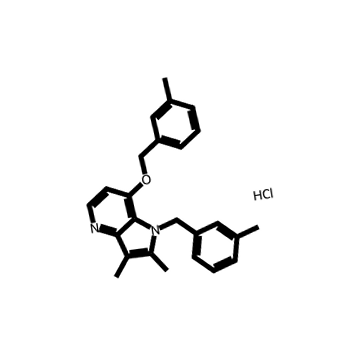 Cc1cccc(COc2ccnc3c(C)c(C)n(Cc4cccc(C)c4)c23)c1.Cl